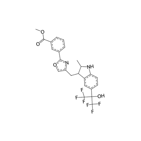 COC(=O)c1cccc(-c2nc(CC3c4cc(C(O)(C(F)(F)F)C(F)(F)F)ccc4NC3C)co2)c1